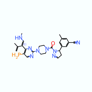 C=C(C)/C(=C\NC)c1nc(N2CCN(C(=O)N3N=CCC3c3cc(C)cc(C#N)c3)CC2)ncc1P